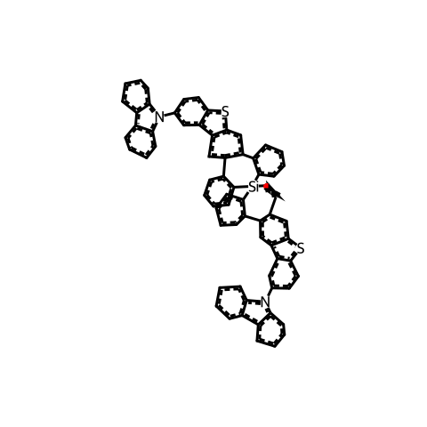 c1ccc2c(c1)-c1cc3sc4ccc(-n5c6ccccc6c6ccccc65)cc4c3cc1-c1ccccc1[Si]21c2ccccc2-c2cc3sc4ccc(-n5c6ccccc6c6ccccc65)cc4c3cc2-c2ccccc21